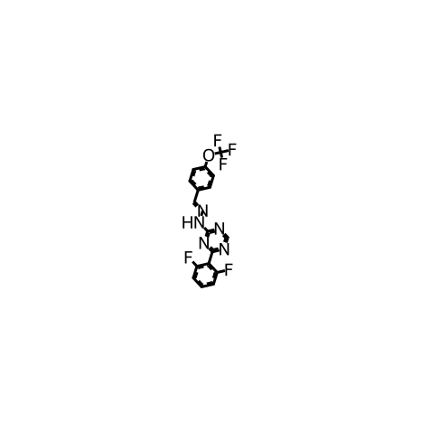 Fc1cccc(F)c1-c1ncnc(NN=Cc2ccc(OC(F)(F)F)cc2)n1